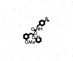 COc1cccc(CC(OC(=O)NCc2ccc(N(C)C)cc2)Oc2ccccn2)c1